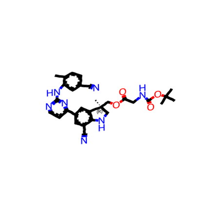 Cc1ccc(C#N)cc1Nc1nccc(-c2cc(C#N)c3c(c2)[C@@](C)(COC(=O)CNC(=O)OC(C)(C)C)CN3)n1